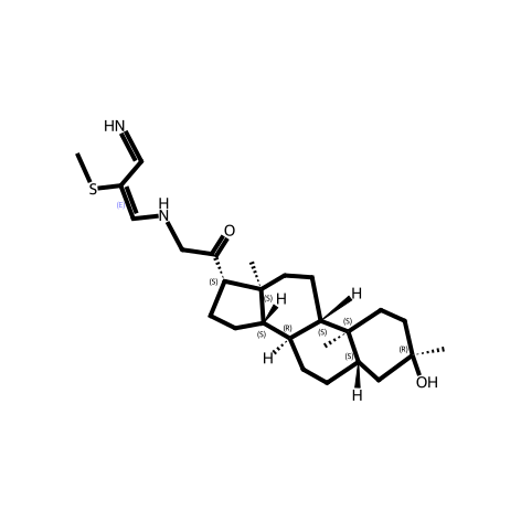 CS/C(C=N)=C/NCC(=O)[C@H]1CC[C@H]2[C@@H]3CC[C@H]4C[C@](C)(O)CC[C@]4(C)[C@H]3CC[C@]12C